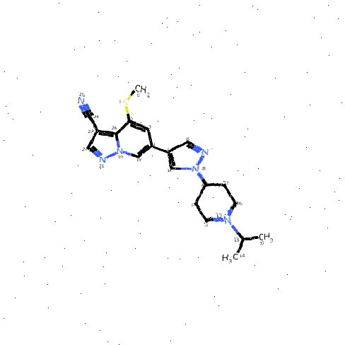 CSc1cc(-c2cnn(C3CCN(C(C)C)CC3)c2)cn2ncc(C#N)c12